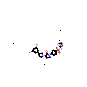 O=C1[C@@H](N2CCC(c3cc(Cl)cc(Cl)c3)C2)CCN1c1ccc(S(=O)(=O)Nc2nccs2)cc1